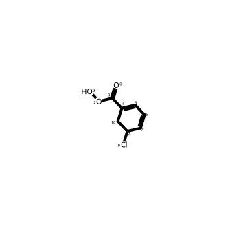 O=C(OO)C1=CC=CC(Cl)C1